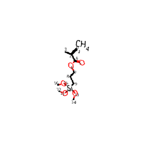 C.C=C(C)C(=O)OCCC[Si](OC)(OC)OC